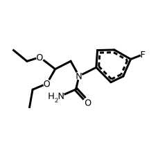 CCOC(CN(C(N)=O)c1ccc(F)cc1)OCC